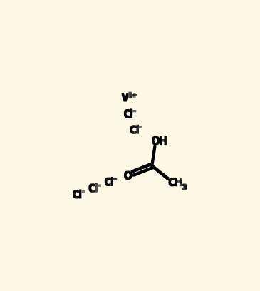 CC(=O)O.[Cl-].[Cl-].[Cl-].[Cl-].[Cl-].[V+5]